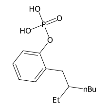 CCCCC(CC)Cc1ccccc1OP(=O)(O)O